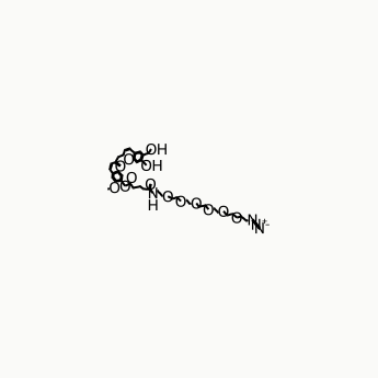 COc1cc(/C=C\C(=O)CC(=O)/C=C\c2ccc(O)c(CO)c2)ccc1OC(=O)CCCC(=O)NCCOCCOCCOCCOCCOCCOCCN=[N+]=[N-]